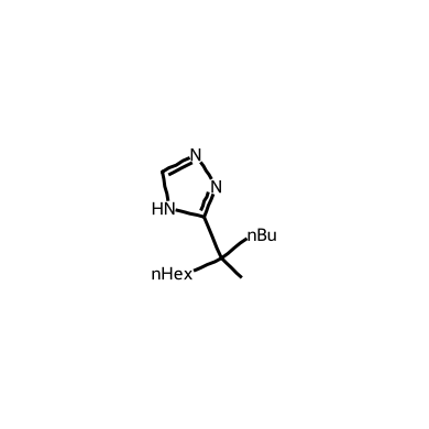 CCCCCCC(C)(CCCC)c1nnc[nH]1